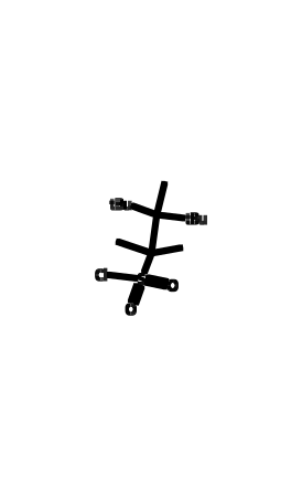 CC(C)(C)C(C)(C(C)(C)C)C(C)(C)S(=O)(=O)Cl